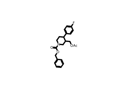 CC(=O)OCC1CN(C(=O)OCc2ccccc2)CCC1c1ccc(F)cc1